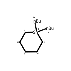 CCC[CH2][Sn]1([CH2]CCC)[CH2]CCC[CH2]1